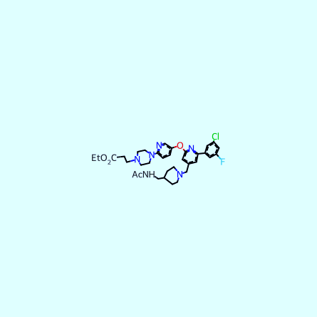 CCOC(=O)CCN1CCN(c2ccc(Oc3cc(CN4CCC(CNC(C)=O)CC4)cc(-c4cc(F)cc(Cl)c4)n3)cn2)CC1